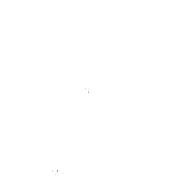 C=CC(=O)n1c(-c2ccccc2)cc2cc(OC)ccc21